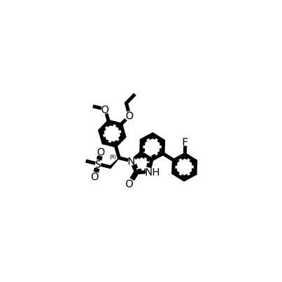 CCOc1cc([C@H](CS(C)(=O)=O)n2c(=O)[nH]c3c(-c4ccccc4F)cccc32)ccc1OC